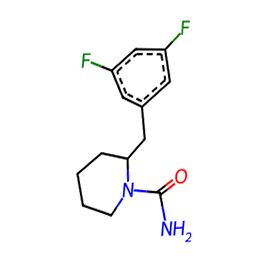 NC(=O)N1CCCCC1Cc1cc(F)cc(F)c1